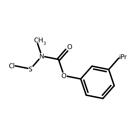 CC(C)c1cccc(OC(=O)N(C)SCl)c1